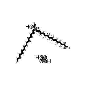 CCCCCCCCCCCCCCCC[N+](C)(CCCCCCCCCCCCCCCC)C(C)O.O=S(=O)(O)O